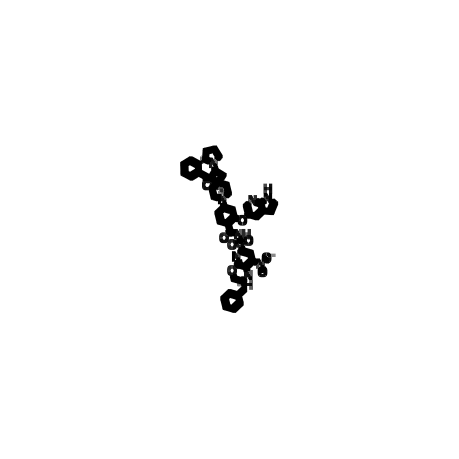 CCc1ccccc1[C@@H]1CCCN1C1CC2(CCN(c3ccc(C(=O)NS(=O)(=O)c4cc([N+](=O)[O-])c5c(n4)OC[C@H](Cc4ccccc4)N5)c(Oc4cnc5[nH]ccc5c4)c3)CC2)C1